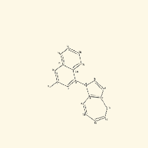 Cc1cc(C2C=CC3=C2C=CC=CC3)c2ccccc2c1